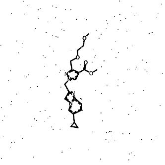 COCCOCc1nn(Cc2cn3cc(C4CC4)ccc3n2)cc1C(=O)OC